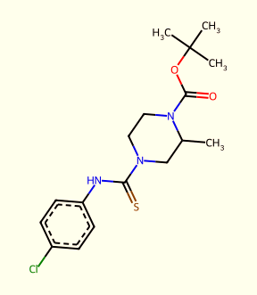 CC1CN(C(=S)Nc2ccc(Cl)cc2)CCN1C(=O)OC(C)(C)C